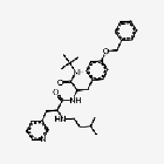 CC(C)CCNC(Cc1cccnc1)C(=O)NC(Cc1ccc(OCc2ccccc2)cc1)C(=O)NC(C)(C)C